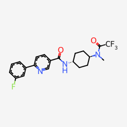 CN(C(=O)C(F)(F)F)[C@H]1CC[C@H](NC(=O)c2ccc(-c3cccc(F)c3)nc2)CC1